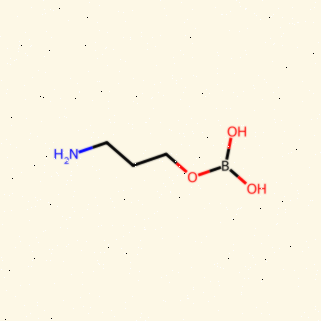 NCCCOB(O)O